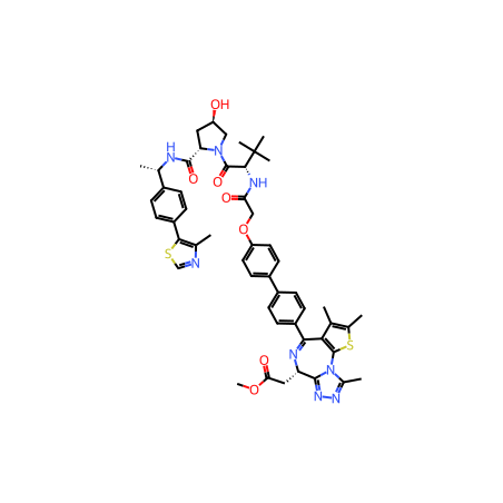 COC(=O)C[C@@H]1N=C(c2ccc(-c3ccc(OCC(=O)N[C@H](C(=O)N4C[C@H](O)C[C@H]4C(=O)N[C@@H](C)c4ccc(-c5scnc5C)cc4)C(C)(C)C)cc3)cc2)c2c(sc(C)c2C)-n2c(C)nnc21